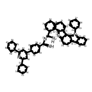 N=C(/N=C(\Nn1c2ccccc2c2c1ccc1c3ccccc3n(-c3ccccc3)c12)c1ccccc1)c1ccc(-c2cc(-c3ccccc3)nc(-c3ccccc3)c2)cc1